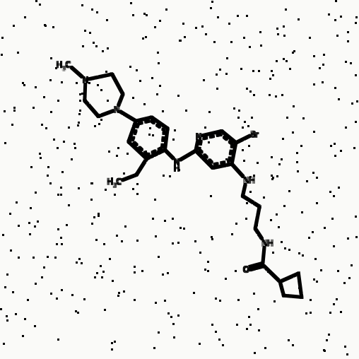 CCc1cc(N2CCN(C)CC2)ccc1Nc1cc(NCCCNC(=O)C2CCC2)c(Br)cn1